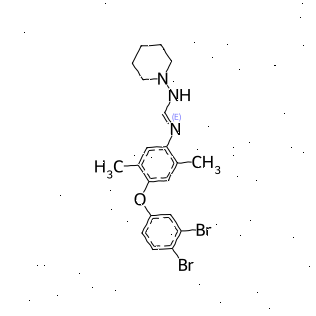 Cc1cc(Oc2ccc(Br)c(Br)c2)c(C)cc1/N=C/NN1CCCCC1